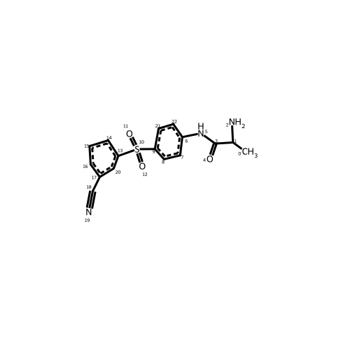 CC(N)C(=O)Nc1ccc(S(=O)(=O)c2cccc(C#N)c2)cc1